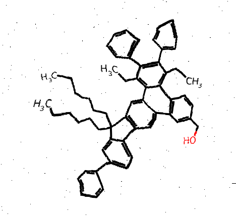 CCCCCCC1(CCCCCC)c2cc(-c3ccccc3)ccc2-c2cc3c4cc(CO)ccc4c4c(CC)c(-c5ccccc5)c(-c5ccccc5)c(CC)c4c3cc21